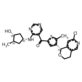 Cc1sc(C(=O)c2cncnc2N[C@@H]2C[C@@H](C)[C@H](O)C2)cc1[C@H]1OCCc2cnc(Cl)cc21